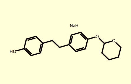 Oc1ccc(CCc2ccc(OC3CCCCO3)cc2)cc1.[NaH]